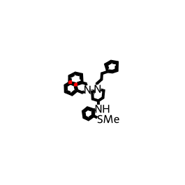 CSc1ccccc1NC1CCN(CCCc2ccccc2)[C@@H](N(Cc2ccccc2)Cc2ccccc2)C1